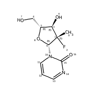 C[C@]1(F)[C@H](O)[C@@H](CO)O[C@H]1n1cccnc1=O